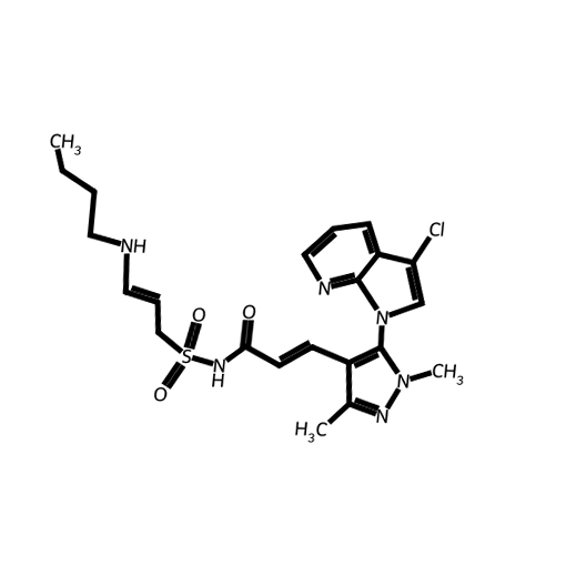 CCCCNC=CCS(=O)(=O)NC(=O)/C=C/c1c(C)nn(C)c1-n1cc(Cl)c2cccnc21